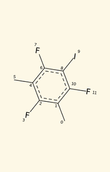 Cc1c(F)c(C)c(F)c(I)c1F